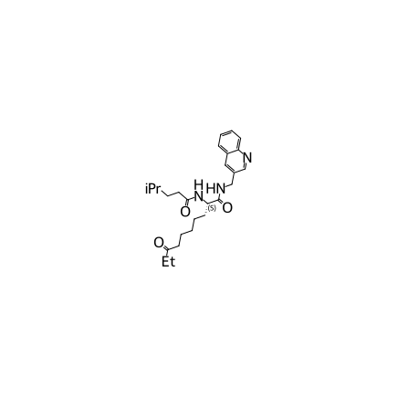 CCC(=O)CCCCC[C@H](NC(=O)CCC(C)C)C(=O)NCc1cnc2ccccc2c1